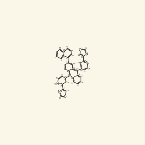 c1ccc2c(-c3ccc4c(-c5ccnc(-c6cocn6)c5)c5ccccc5c(-c5ccnc(-c6cocn6)c5)c4c3)cccc2c1